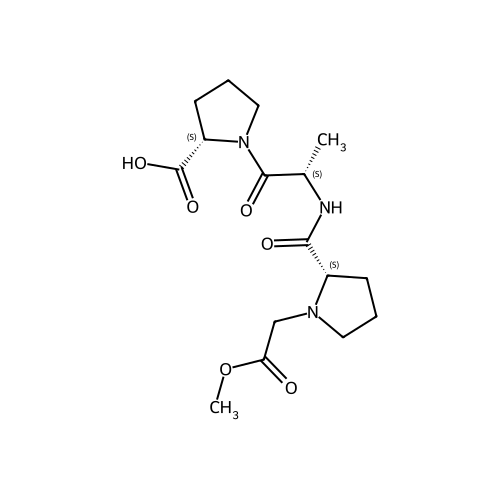 COC(=O)CN1CCC[C@H]1C(=O)N[C@@H](C)C(=O)N1CCC[C@H]1C(=O)O